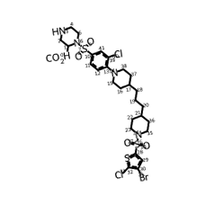 O=C(O)C1CNCCN1S(=O)(=O)c1ccc(N2CCC(CCCC3CCN(S(=O)(=O)c4cc(Br)c(Cl)s4)CC3)CC2)c(Cl)c1